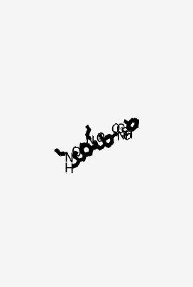 CCCNC(=O)C(CC)Cc1ccc2c(c1)c(Cc1ccc(C(=O)NS(=O)(=O)c3ccccc3C)cc1OC)cn2CCC